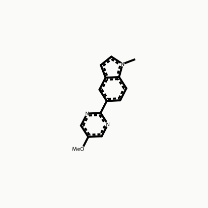 COc1cnc(-c2ccc3c(ccn3C)c2)nc1